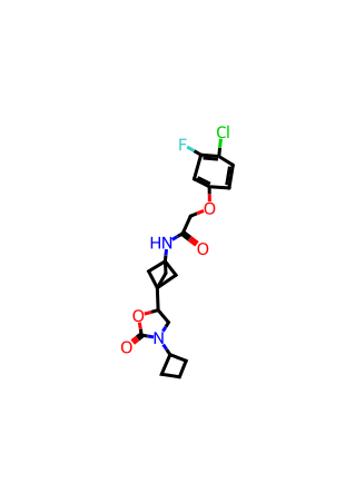 O=C(COc1ccc(Cl)c(F)c1)NC12CC(C3CN(C4CCC4)C(=O)O3)(C1)C2